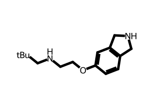 CC(C)(C)CNCCOc1ccc2c(c1)CNC2